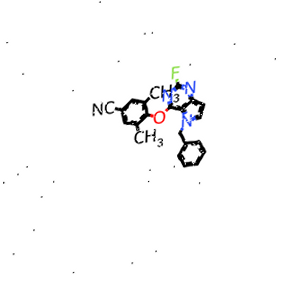 Cc1cc(C#N)cc(C)c1Oc1nc(F)nc2ccn(Cc3ccccc3)c12